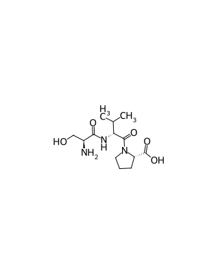 CC(C)[C@@H](NC(=O)[C@@H](N)CO)C(=O)N1CCC[C@H]1C(=O)O